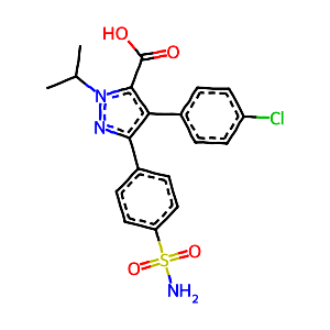 CC(C)n1nc(-c2ccc(S(N)(=O)=O)cc2)c(-c2ccc(Cl)cc2)c1C(=O)O